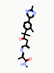 C=C(/C=N\C=C(/C)C(=O)NC)CC(=O)C(C)(C)c1ccc(-c2cnc(C)nc2)cc1C